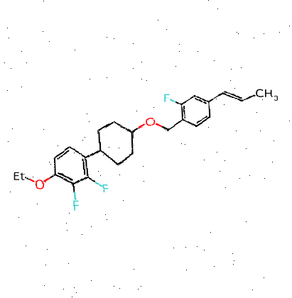 C/C=C/c1ccc(COC2CCC(c3ccc(OCC)c(F)c3F)CC2)c(F)c1